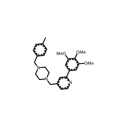 COc1cc(-c2cc(CN3CCN(Cc4ccc(C)cc4)CC3)ccn2)cc(OC)c1OC